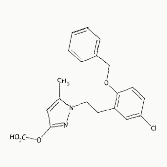 Cc1cc(OC(=O)O)nn1CCc1cc(Cl)ccc1OCc1ccccc1